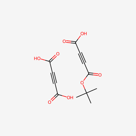 CC(C)(C)OC(=O)C#CC(=O)O.O=C(O)C#CC(=O)O